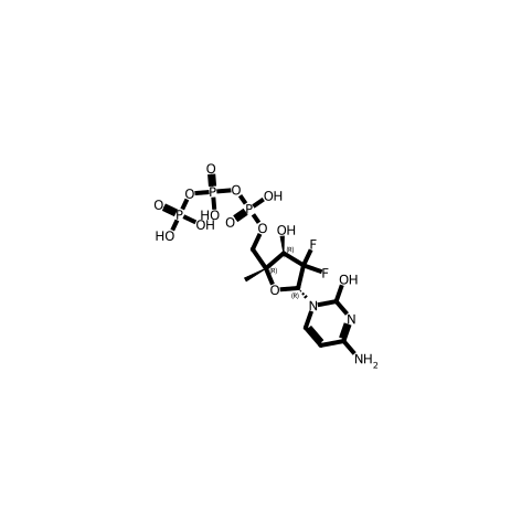 C[C@]1(COP(=O)(O)OP(=O)(O)OP(=O)(O)O)O[C@@H](N2C=CC(N)=NC2O)C(F)(F)[C@@H]1O